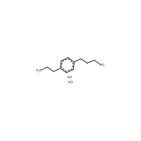 Cl.Cl.NCCCc1ccc(CCN)cc1